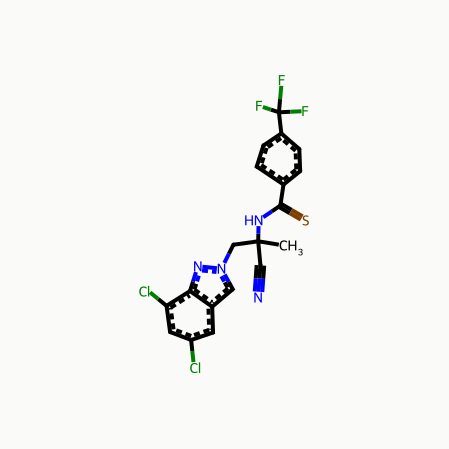 CC(C#N)(Cn1cc2cc(Cl)cc(Cl)c2n1)NC(=S)c1ccc(C(F)(F)F)cc1